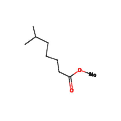 CC(C)CCCCC(=O)[O][Mo]